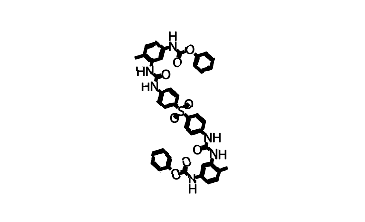 Cc1ccc(NC(=O)Oc2ccccc2)cc1NC(=O)Nc1ccc(S(=O)(=O)c2ccc(NC(=O)Nc3cc(NC(=O)Oc4ccccc4)ccc3C)cc2)cc1